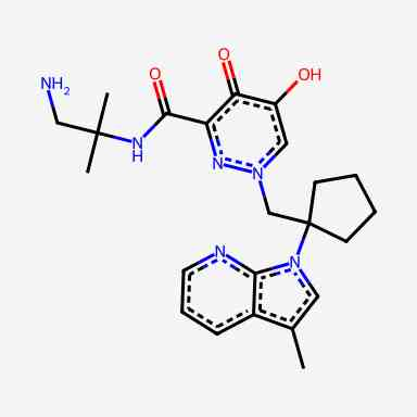 Cc1cn(C2(Cn3cc(O)c(=O)c(C(=O)NC(C)(C)CN)n3)CCCC2)c2ncccc12